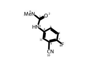 CNC(=O)Nc1ccc(F)c(C#N)c1